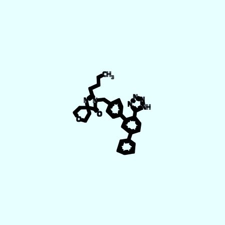 CCCCC1=NC2(CCOCC2)C(=O)N1Cc1ccc(-c2cc(-c3ccccc3)ccc2-c2nnn[nH]2)cc1